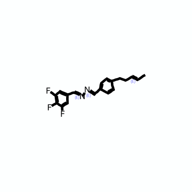 C/C=C/CCc1ccc(/C=N/N=C/c2cc(F)c(F)c(F)c2)cc1